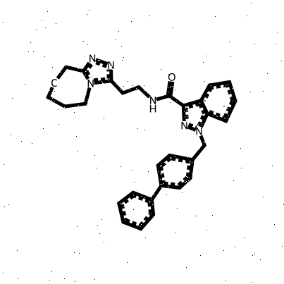 O=C(NCCc1nnc2n1CCCCC2)c1nn(Cc2ccc(-c3ccccc3)cc2)c2ccccc12